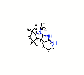 CC(C)(C)C1C2C3CCCNC3NC2N(C(C)(C)C)C1C(C)(C)C